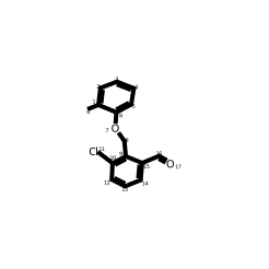 Cc1ccccc1OCc1c(Cl)cccc1C=O